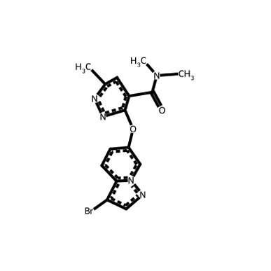 Cc1cc(C(=O)N(C)C)c(Oc2ccc3c(Br)cnn3c2)nn1